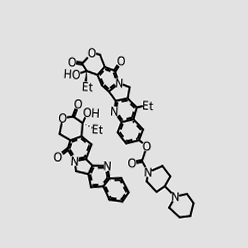 CC[C@@]1(O)C(=O)OCc2c1cc1n(c2=O)Cc2cc3ccccc3nc2-1.CCc1c2c(nc3ccc(OC(=O)N4CCC(N5CCCCC5)CC4)cc13)-c1cc3c(c(=O)n1C2)COC(=O)[C@]3(O)CC